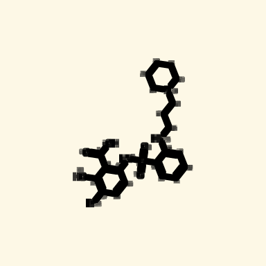 O=C(O)c1c(NS(=O)(=O)c2ccccc2NCCCN2CCCCC2)ccc(Br)c1O